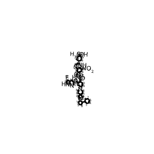 CC(C)c1ccccc1C1=CCCC1N1CC2(CCN(c3ccc(C(=O)NS(=O)(=O)c4cc5c(c([N+](=O)[O-])c4)N[C@@H](C4CCC(C)(O)CC4)CO5)c(Oc4cnc5[nH]cc(F)c5c4)c3)CC2)C1